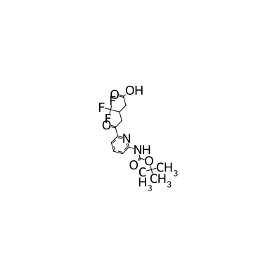 CC(C)(C)OC(=O)Nc1cccc(C(=O)CC(CC(=O)O)C(F)(F)F)n1